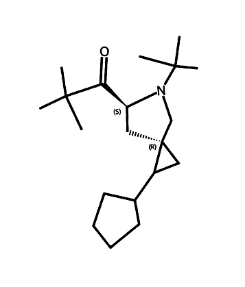 CC(C)(C)C(=O)[C@@H]1C[C@@]2(CC2C2CCCC2)CN1C(C)(C)C